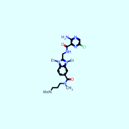 CCn1c(CNC(=O)c2nc(Cl)cnc2N)[n+](CC)c2ccc(C(=O)N(C)CCCNC)cc21